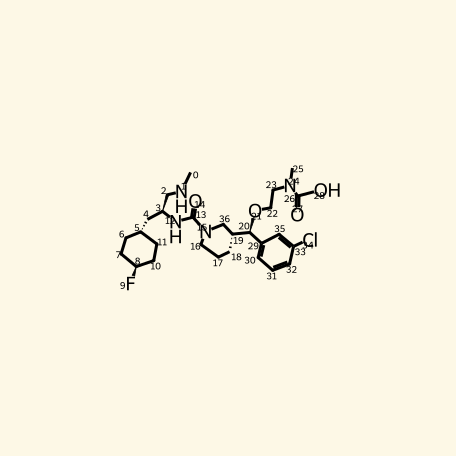 CNC[C@H](C[C@H]1CC[C@H](F)CC1)NC(=O)N1CCC[C@@H]([C@@H](OCCN(C)C(=O)O)c2cccc(Cl)c2)C1